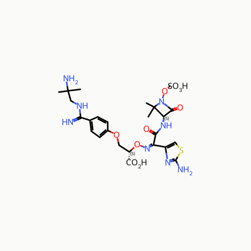 CC(C)(N)CNC(=N)c1ccc(OC[C@H](ON=C(C(=O)N[C@@H]2C(=O)N(OS(=O)(=O)O)C2(C)C)c2csc(N)n2)C(=O)O)cc1